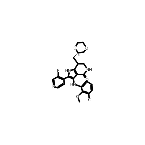 COc1c(Cl)cccc1Nc1c(-c2ccncc2F)[nH]c2c1C(=O)NCC2C[C@H]1COCCO1